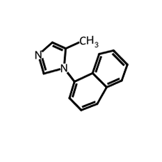 Cc1cncn1-c1cccc2ccccc12